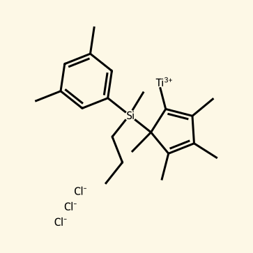 CCC[Si](C)(c1cc(C)cc(C)c1)C1(C)C(C)=C(C)C(C)=[C]1[Ti+3].[Cl-].[Cl-].[Cl-]